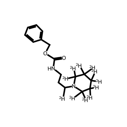 [2H]C(CCNC(=O)OCc1ccccc1)N1C([2H])([2H])C([2H])([2H])C([2H])([2H])C([2H])([2H])C1([2H])[2H]